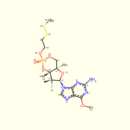 CCOc1nc(N)nc2c1ncn2[C@@H]1O[C@@H]2COP(=O)(OCCSSC(C)(C)C)O[C@H]2[C@@]1(C)F